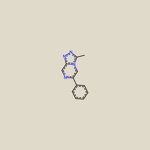 Cc1nnc2cnc(-c3ccccc3)cn12